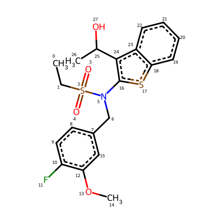 CCS(=O)(=O)N(Cc1ccc(F)c(OC)c1)c1sc2ccccc2c1C(C)O